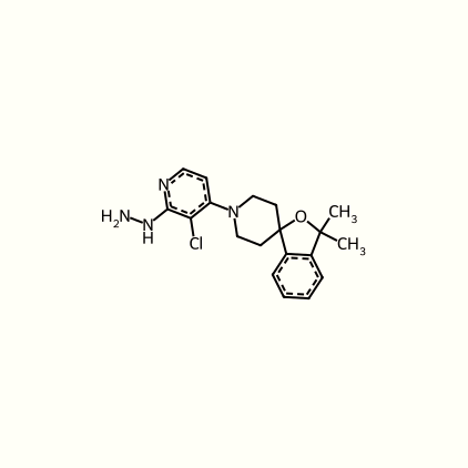 CC1(C)OC2(CCN(c3ccnc(NN)c3Cl)CC2)c2ccccc21